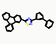 c1ccc(-c2cccc(-c3nsc(-c4ccc5c6ccccc6c6ccccc6c5c4)n3)c2)cc1